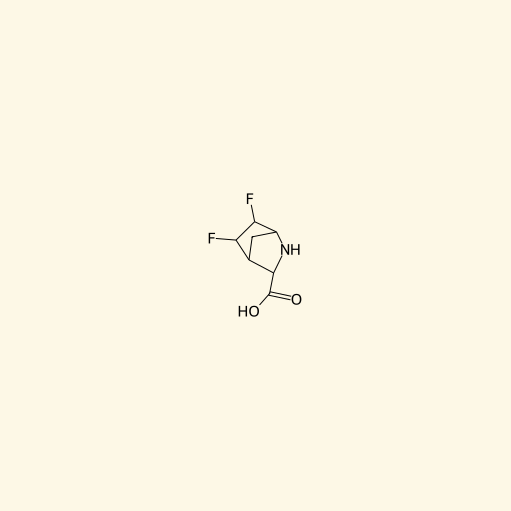 O=C(O)C1NC2CC1C(F)C2F